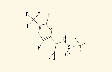 CC(C)(C)[S@@+]([O-])NC(c1cc(F)c(C(F)(F)F)cc1F)C1CC1